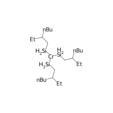 CCCCC(CC)C[SiH2][Cr]([SiH2]CC(CC)CCCC)[SiH2]CC(CC)CCCC